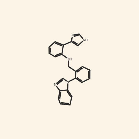 c1ccc(-n2cnc3ccccc32)c(CNc2ccccc2-c2c[nH]cn2)c1